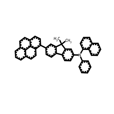 CC1(C)c2cc(-c3ccc4ccc5cccc6ccc3c4c56)ccc2-c2ccc(N(c3ccccc3)c3cccc4ccccc34)cc21